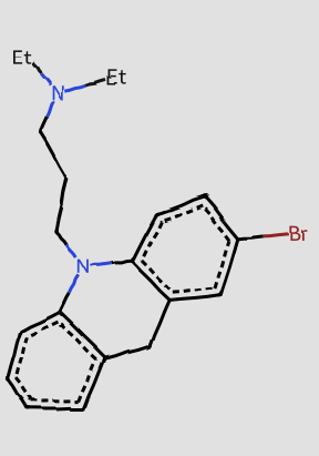 CCN(CC)CCCN1c2ccccc2Cc2cc(Br)ccc21